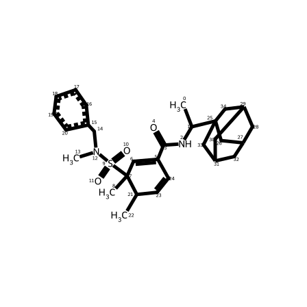 CC(NC(=O)C1=CC(C)(S(=O)(=O)N(C)Cc2ccccc2)C(C)C=C1)C12CC3CC(CC(C3)C1)C2